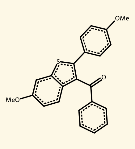 COc1ccc(-c2sc3cc(OC)ccc3c2C(=O)c2ccccc2)cc1